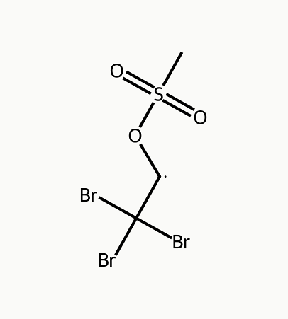 CS(=O)(=O)O[CH]C(Br)(Br)Br